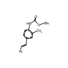 CC(=O)C=Cc1ccc(NC(=O)OC(C)(C)C)c(C)c1